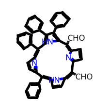 O=Cc1c2nc(c(C=O)c3[nH]c(c(-c4ccccc4)c4nc(c(-c5ccccc5)c5ccc1[nH]5)C=C4)c(-c1ccccc1)c3-c1ccccc1)C=C2